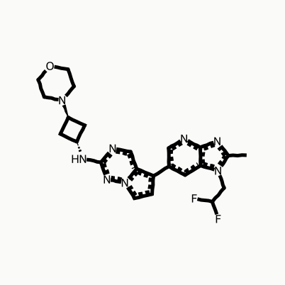 Cc1nc2ncc(-c3ccn4nc(N[C@H]5C[C@H](N6CCOCC6)C5)ncc34)cc2n1CC(F)F